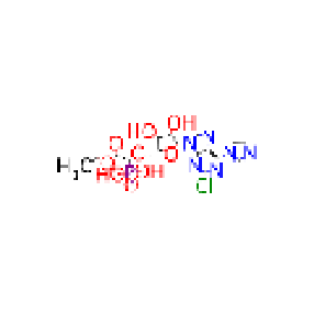 CCOC(=O)C(OC[C@H]1O[C@@H](n2cnc3c(-n4ccnc4)nc(Cl)nc32)[C@H](O)[C@@H]1O)P(=O)(O)O